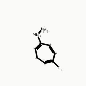 NNC1=CCC=C(F)C=C1